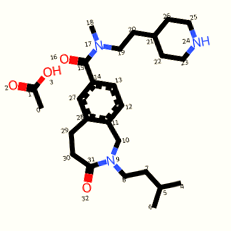 CC(=O)O.CC(C)CCN1Cc2ccc(C(=O)N(C)CCC3CCNCC3)cc2CCC1=O